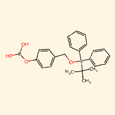 CC(C)(C)[Si](OCc1ccc(OB(O)O)cc1)(c1ccccc1)c1ccccc1